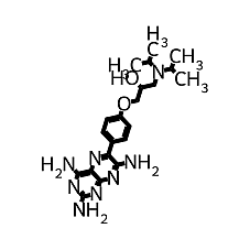 CC(C)N(CC(O)COc1ccc(-c2nc3c(N)nc(N)nc3nc2N)cc1)C(C)C